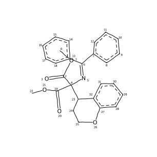 COC(=O)C(N=C(c1ccccc1)c1ccccc1)(C(=O)OC)C1CCOc2ccccc21